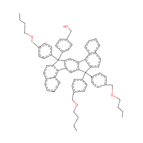 CCCCOCc1ccc(C2(c3ccc(CO)cc3)c3cc4c(cc3-c3c2ccc2ccccc32)C(c2ccc(COCCCC)cc2)(c2ccc(COCCCC)cc2)c2ccc3ccccc3c2-4)cc1